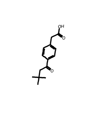 CC(C)(C)CC(=O)c1ccc(CC(=O)O)cc1